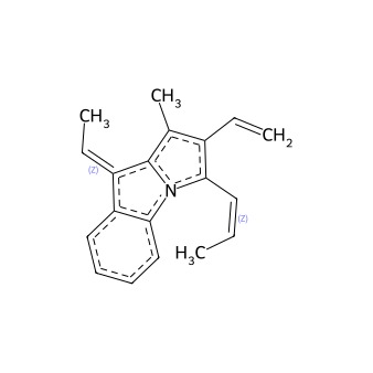 C=Cc1c(C)c2/c(=C\C)c3ccccc3n2c1/C=C\C